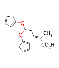 CC(=CCC(OC1=CC=CC1)OC1=CC=CC1)C(=O)O